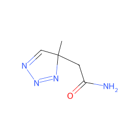 CC1(CC(N)=O)C=NN=N1